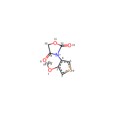 CCCOc1cscc1N1C(=O)COC1=O